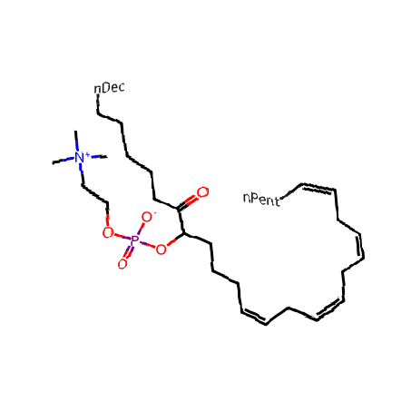 CCCCC/C=C\C/C=C\C/C=C\C/C=C\CCCC(OP(=O)([O-])OCC[N+](C)(C)C)C(=O)CCCCCCCCCCCCCCC